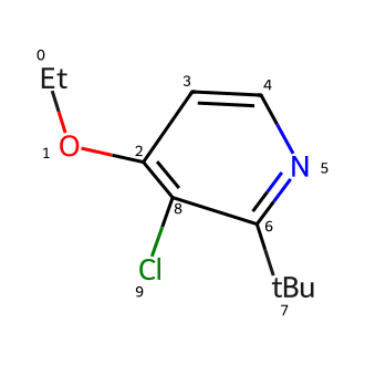 CCOc1ccnc(C(C)(C)C)c1Cl